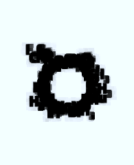 CC[C@H](C)[C@@H]1NC(=O)[C@H](CC(C)C)N(C)C(=O)C[C@@H](CC(C)C)NC(=O)[C@H](C(C)C)N(C)C(=O)C2(CCCC2)NC(=O)[C@@H]2CCCN2C(=O)[C@H](CCc2ccc(C(F)(F)F)c(Cl)c2)NC(=O)CN(C)C(=O)[C@H](CC2CCCCC2)N(C)C(=O)CN(C)C(=O)CN(C)C1=O